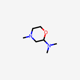 CN1CCOC(N(C)C)C1